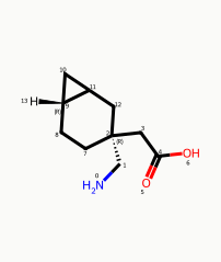 NC[C@]1(CC(=O)O)CC[C@@H]2CC2C1